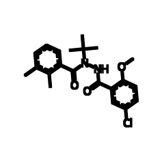 COc1ccc(Cl)cc1C(=O)NN(C(=O)c1cccc(C)c1C)C(C)(C)C